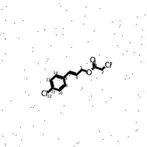 O=C(CCl)OCC=Cc1ccc(Cl)cc1